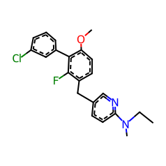 CCN(C)c1ccc(Cc2ccc(OC)c(-c3cccc(Cl)c3)c2F)cn1